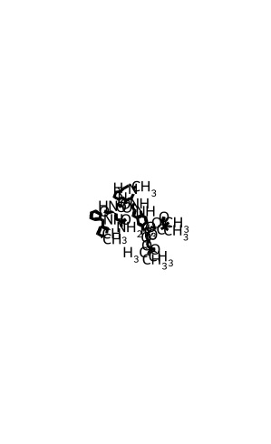 C#C/C=C\C(=C/C)C(NC(=O)[C@H](CCC(N)=O)NC(=O)[C@@H]1CC[C@@H]2CCN(C)C[C@H](NC(=O)c3cc4cc(CP(=O)(OCOC(=O)C(C)(C)C)OCOC(=O)C(C)(C)C)ccc4[nH]3)C(=O)N21)c1ccccc1